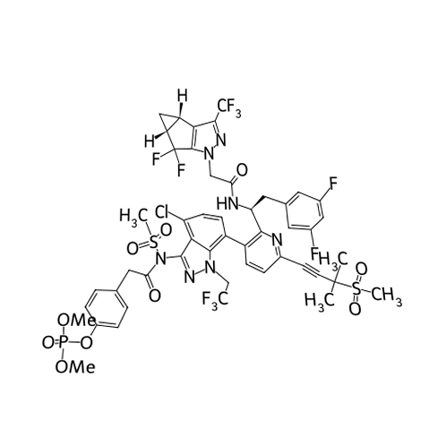 COP(=O)(OC)Oc1ccc(CC(=O)N(c2nn(CC(F)(F)F)c3c(-c4ccc(C#CC(C)(C)S(C)(=O)=O)nc4[C@H](Cc4cc(F)cc(F)c4)NC(=O)Cn4nc(C(F)(F)F)c5c4C(F)(F)[C@@H]4C[C@H]54)ccc(Cl)c23)S(C)(=O)=O)cc1